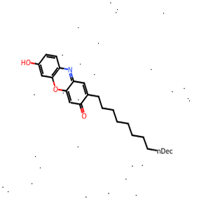 CCCCCCCCCCCCCCCCCCc1cc2nc3ccc(O)cc3oc-2cc1=O